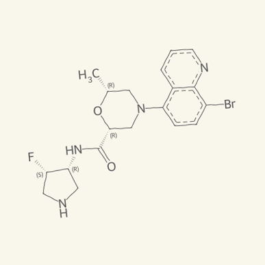 C[C@@H]1CN(c2ccc(Br)c3ncccc23)C[C@H](C(=O)N[C@@H]2CNC[C@@H]2F)O1